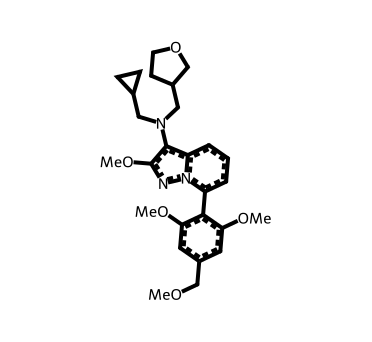 COCc1cc(OC)c(-c2cccc3c(N(CC4CC4)CC4CCOC4)c(OC)nn23)c(OC)c1